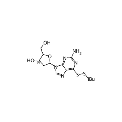 CCC(C)SSc1nc(N)nc2c1ncn2C1C[C@H](O)C(CO)O1